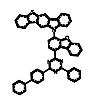 c1ccc(-c2ccc(-c3nc(-c4ccccc4)nc(-c4ccc(-n5c6ccccc6c6cc7sc8ccccc8c7cc65)c5oc6ccccc6c45)n3)cc2)cc1